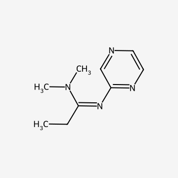 CCC(=Nc1cnccn1)N(C)C